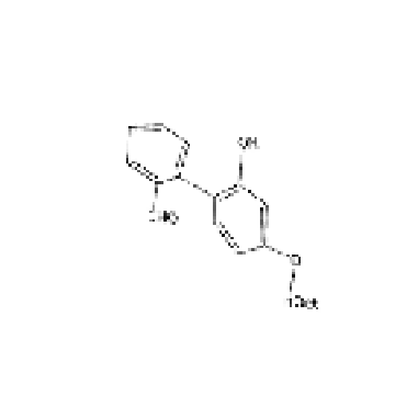 CCCCCCCCOc1ccc(-c2ccccc2C=O)c(O)c1